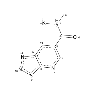 C[SH](S)C(=O)c1cnc2snnc2c1